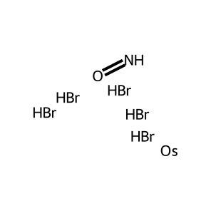 Br.Br.Br.Br.Br.N=O.[Os]